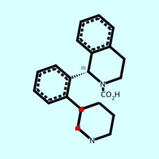 O=C(O)N1CCc2ccccc2[C@H]1c1ccccc1C1CN2CCC1CC2